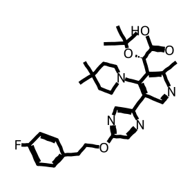 Cc1ncc(-c2cnc(OCCc3ccc(F)cc3)cn2)c(N2CCC(C)(C)CC2)c1[C@H](OC(C)(C)C)C(=O)O